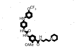 COc1cc(NC(=O)Nc2ccc(Nc3cccc(OC(F)(F)F)c3)cc2)ccc1C(=O)NCCCN1CCCCC1